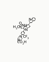 CN1Cc2c(-c3ccc(N4CCN(C(=O)O)CC4)c(C(F)(F)F)c3)nc3ccc(-c4cnc5ccccc5c4)cc3c2NC1=O